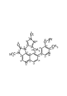 CCn1cc(-n2c(=O)n(C)c3cnc4ccc(-c5cnc(C)c(OC(C)C)c5)cc4c32)c(C)n1